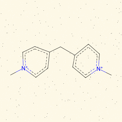 C[n+]1ccc(Cc2cc[n+](C)cc2)cc1